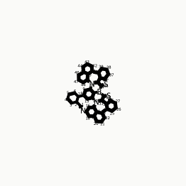 N#CC1C=CC=CC1c1cc2c3c(c1)-n1c4cccc5cccc(c6cccc7sc(c1c76)B3c1sc3cccc6c7cccc8cccc(c87)n-2c1c36)c54